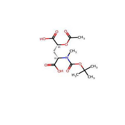 CC(=O)O[C@H](C[C@@H](C(=O)O)N(C)C(=O)OC(C)(C)C)C(=O)O